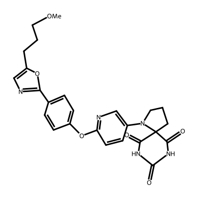 COCCCc1cnc(-c2ccc(Oc3ccc(N4CCCC45C(=O)NC(=O)NC5=O)cn3)cc2)o1